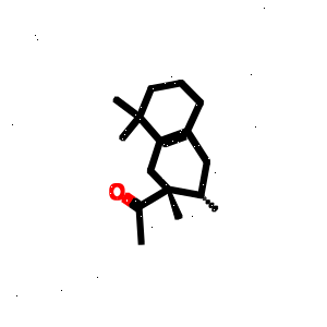 CC(=O)[C@]1(C)CC2=C(CCCC2(C)C)C[C@@H]1C